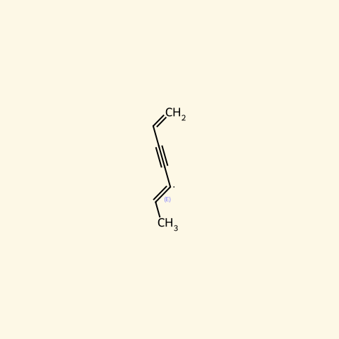 C=CC#C/[C]=C/C